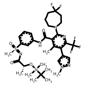 Cc1c(C(=O)Nc2cccc([S@@](C)(=O)=NC(=O)[C@@H](C)O[Si](C)(C)C(C)(C)C)c2)c(N2CCCC(F)(F)CC2)nc(C(F)(F)F)c1-c1cnn(C)c1